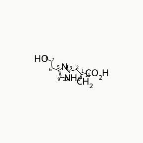 C=C(Cc1nc(CCO)c[nH]1)C(=O)O